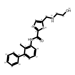 Cc1c(NC(=O)c2ncc(CNCCO)s2)cccc1-c1ccccc1